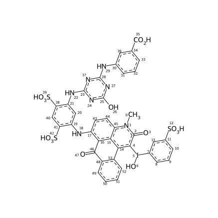 Cn1c(=O)c(I(O)c2cccc(S(=O)(=O)O)c2)c2c3c(c(Nc4cc(Nc5nc(O)nc(Nc6cccc(C(=O)O)c6)n5)c(S(=O)(=O)O)cc4S(=O)(=O)O)ccc31)C(=O)c1ccccc1-2